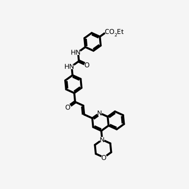 CCOC(=O)c1ccc(NC(=O)Nc2ccc(C(=O)C=Cc3cc(N4CCOCC4)c4ccccc4n3)cc2)cc1